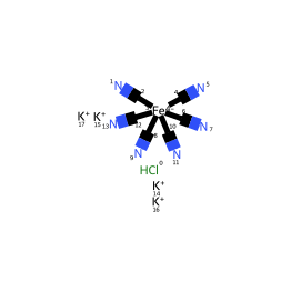 Cl.N#[C][Fe-4]([C]#N)([C]#N)([C]#N)([C]#N)[C]#N.[K+].[K+].[K+].[K+]